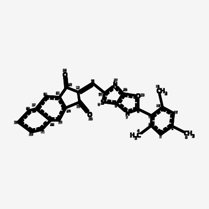 Cc1cc(C)c(-c2nc3sc(C=C4C(=O)c5cc6ccccc6cc5C4=O)nc3o2)c(C)c1